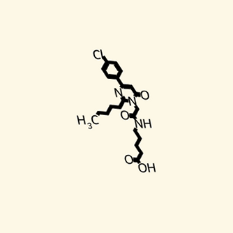 CCCCCc1nc(-c2ccc(Cl)cc2)cc(=O)n1CC(=O)NCCCCC(=O)O